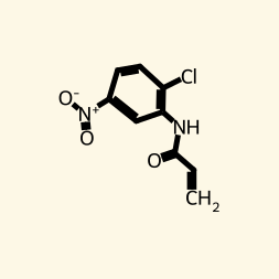 C=CC(=O)Nc1cc([N+](=O)[O-])ccc1Cl